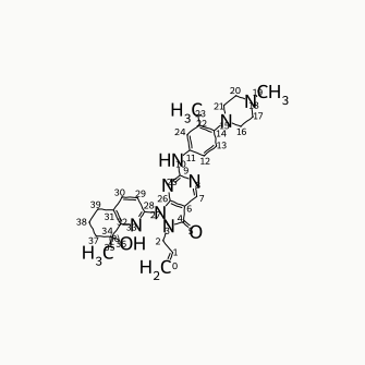 C=CCn1c(=O)c2cnc(Nc3ccc(N4CCN(C)CC4)c(C)c3)nc2n1-c1ccc2c(n1)[C@](C)(O)CCC2